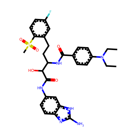 CCN(CC)c1ccc(C(=O)NC(CCc2cc(F)ccc2S(C)(=O)=O)C(O)C(=O)Nc2ccc3nc(N)[nH]c3c2)cc1